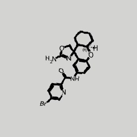 NC1=NC2(CO1)c1cc(NC(=O)c3ccc(Br)cn3)ccc1O[C@@H]1CCCCC12